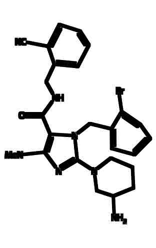 CNc1nc(N2CCCC(N)C2)n(Cc2ccccc2Br)c1C(=O)NCc1ccccc1C#N